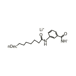 CCCCCCCCCCCCCCCCC(=O)Nc1cccc(C([NH-])=O)c1.[Li+]